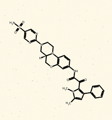 Cc1cc(-c2ccccc2)c(C(=O)C(=O)Nc2ccc3c(c2)OC[C@@H]2CN(c4ncc(S(N)(=O)=O)cn4)CCN32)n1C